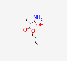 CCCCOC(=O)C(CC)C(N)O